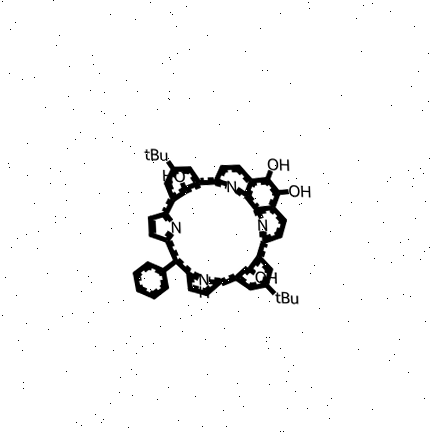 CC(C)(C)c1cc2c3nc(c(-c4ccccc4)c4ccc([nH]4)c4cc(C(C)(C)C)cc(c4O)c4ccc5c(O)c(O)c6ccc(nc6c5n4)c(c1)c2O)C=C3